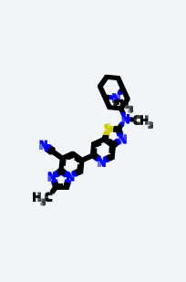 Cc1cn2cc(-c3cc4sc(N(C)C5CC6CCCC(C5)N6C)nc4cn3)cc(C#N)c2n1